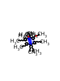 CCCCCC1=C(c2ccc(CCCCC)cc2)[N+](=[N-])C(c2cccc(CCCC)c2)=C1CCCCC.CCCCCc1ccc(C2=CC=C(c3cccc(CCCCC)c3)[N+]2=[N-])cc1.C[CH2][Pd][CH2]C.[CH3][Pd][CH3]